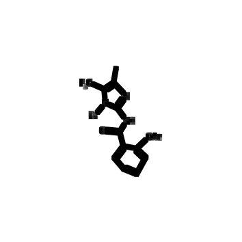 CCn1c(NC(=O)c2ccccc2OC(C)=O)nc(C)c1C(F)(F)F